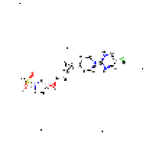 CS(=O)(=O)N1CCC(OCC[C@@H]2C[C@@H]2C2CCN(c3ncc(Cl)cn3)CC2)C1